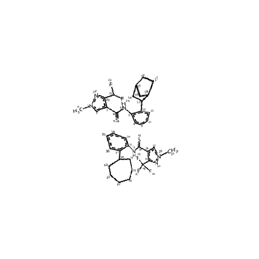 Cn1cc(C(=S)Nc2ccccc2C2CC3CCC2C3)c(C(F)F)n1.Cn1cc(C(=S)Nc2ccccc2C2CCCCCC2)c(C(F)(F)F)n1